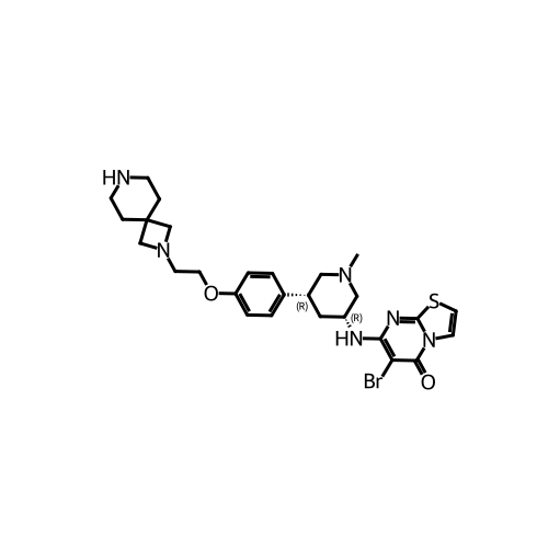 CN1C[C@H](Nc2nc3sccn3c(=O)c2Br)C[C@H](c2ccc(OCCN3CC4(CCNCC4)C3)cc2)C1